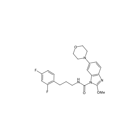 COc1nc2ccc(N3CCOCC3)cc2n1C(=O)NCCCc1ccc(F)cc1F